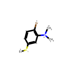 CCSc1ccc(Br)c(N(C)C)c1